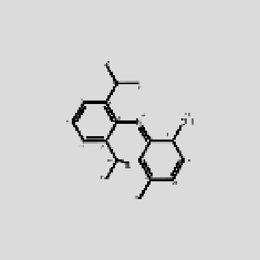 CC1=CC(=Nc2c(C(C)C)cccc2C(C)C)C(O)C=C1